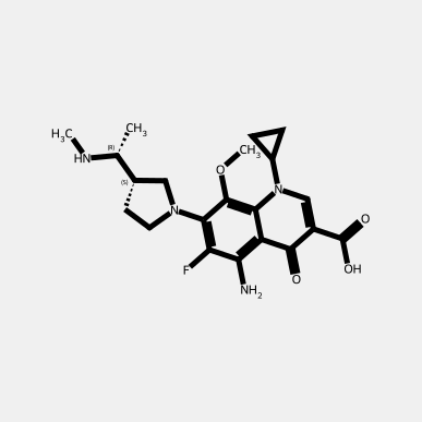 CN[C@H](C)[C@H]1CCN(c2c(F)c(N)c3c(=O)c(C(=O)O)cn(C4CC4)c3c2OC)C1